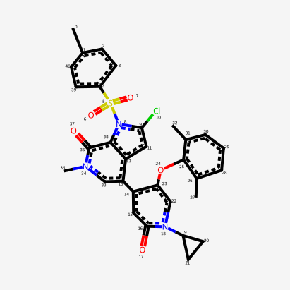 Cc1ccc(S(=O)(=O)n2c(Cl)cc3c(-c4cc(=O)n(C5CC5)cc4Oc4c(C)cccc4C)cn(C)c(=O)c32)cc1